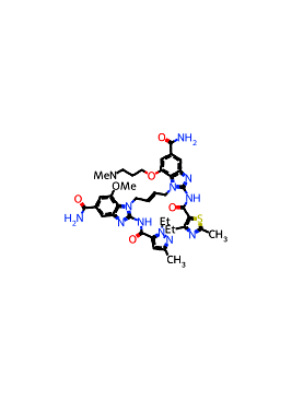 CCc1nc(C)sc1C(=O)Nc1nc2cc(C(N)=O)cc(OCCCNC)c2n1C/C=C/Cn1c(NC(=O)c2cc(C)nn2CC)nc2cc(C(N)=O)cc(OC)c21